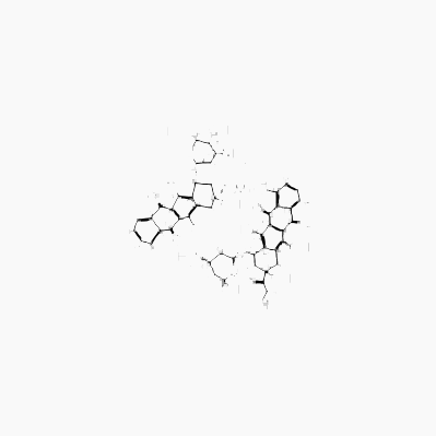 CC(=O)[C@]1(O)Cc2c(O)c3c(c(O)c2[C@@H](O[C@H]2C[C@H](N)[C@H](O)[C@H](C)O2)C1)C(=O)c1ccccc1C3=O.COc1cccc2c1C(=O)c1c(O)c3c(c(O)c1C2=O)CC(O)(C(=O)CO)CC3OC1CC(N)CC(C)O1